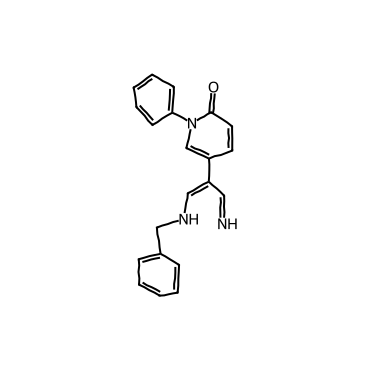 N=C/C(=C\NCc1ccccc1)c1ccc(=O)n(-c2ccccc2)c1